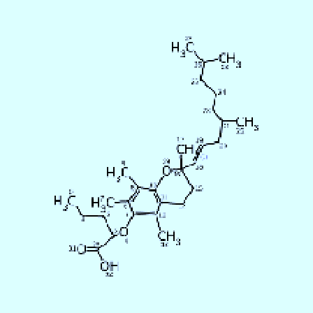 CCCC(Oc1c(C)c(C)c2c(c1C)CCC(C)(/C=C/CC(C)CCCC(C)C)O2)C(=O)O